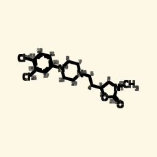 CN1CC(CCN2CCN(c3ccc(Cl)c(Cl)c3)CC2)OC1=O